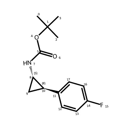 CC(C)(C)OC(=O)N[C@H]1C[C@@H]1c1ccc(F)cc1